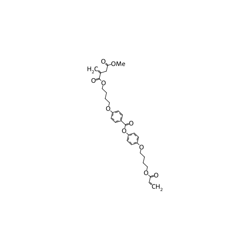 C=CC(=O)OCCCCOc1ccc(OC(=O)c2ccc(OCCCCOC(=O)C(=C)CC(=O)OC)cc2)cc1